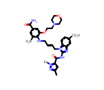 CCn1nc(C)cc1C(=O)Nc1nc2cc(C(=O)O)ccc2n1CC=CCNc1c(OCCN2CCOCC2)cc(C(N)=O)cc1[N+](=O)[O-]